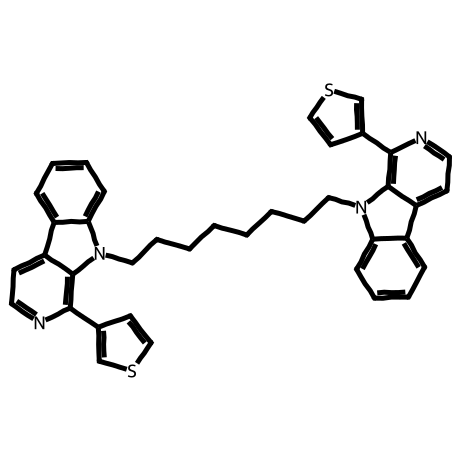 c1ccc2c(c1)c1ccnc(-c3ccsc3)c1n2CCCCCCCCn1c2ccccc2c2ccnc(-c3ccsc3)c21